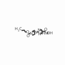 CCCCOC(=O)N1CC2CC1CN2c1ncc(C(=O)NO)cn1